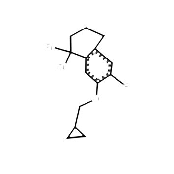 CCC1(C(C)C)CCCc2cc(F)c(OCC3CC3)cc21